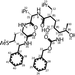 CSCC[C@H](NC(=O)[C@@H](NC(=O)[C@H](CC(C)C)C[C@@H](O)[C@@H](NC(=O)OCc1ccccc1)[C@@H](C)O)C(C)C)C(=O)NCc1ccccc1